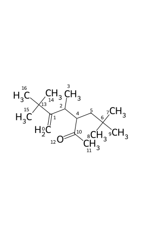 C=C(C(C)C(CC(C)(C)C)C(C)=O)C(C)(C)C